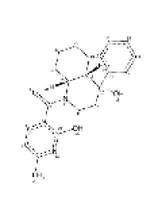 Cc1ccc(C(=O)N2CC[C@](O)(c3ccccc3)[C@H]3CCCC[C@H]32)c(O)n1